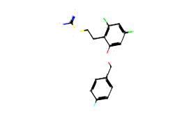 I.N=C(N)SCCc1c(Cl)cc(Cl)cc1OCc1ccc(F)cc1